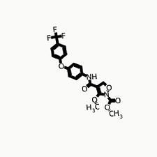 COC(=O)N1OCC(C(=O)Nc2ccc(Oc3ccc(C(F)(F)F)cc3)cc2)=C1OC